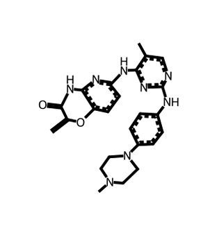 C=C1Oc2ccc(Nc3nc(Nc4ccc(N5CCN(C)CC5)cc4)ncc3C)nc2NC1=O